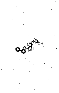 O[C@H]1CCN(Cc2cnc3c(N4CCc5c(-c6ccccc6)cccc54)ncnc3c2)C1